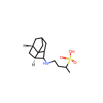 CC(CCNC1C2CC3C[C@H](C2)C[C@H]1C3)S(=O)(=O)O